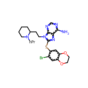 CCCN1CCCCC1CCn1c(Sc2cc3c(cc2Br)OCCO3)nc2c(N)ncnc21